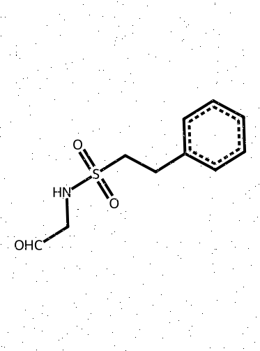 O=CCNS(=O)(=O)CCc1ccccc1